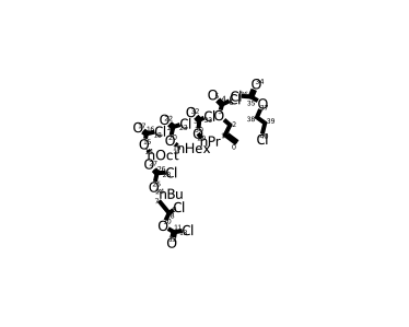 C=CCOC(=O)Cl.CC(Cl)OC(=O)Cl.CCCCCCCCOC(=O)Cl.CCCCCCOC(=O)Cl.CCCCOC(=O)Cl.CCCOC(=O)Cl.O=C(Cl)OCCCl